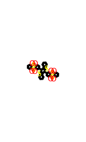 O=S1(=O)c2ccccc2S(=O)(=O)c2cc(-c3c4sc5ccccc5c4c(-c4ccc5c(c4)S(=O)(=O)c4ccccc4S5(=O)=O)c4sc5ccccc5c34)ccc21